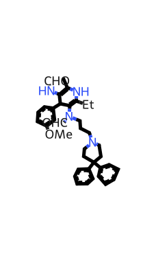 CCC1=C(N(C=O)CCCN2CCC(c3ccccc3)(c3ccccc3)CC2)C(c2cccc(OC)c2)C(NC=O)=C(C)N1